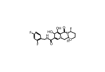 C[C@H]1CCO[C@H]2CN3C=C(C(=O)NCc4ccc(F)cc4F)C(O)C(O)=C3C(=O)N21